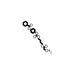 C=CC(=O)OCCCCOC(=O)Oc1ccc(OC(=O)C2CCCCC2)cc1